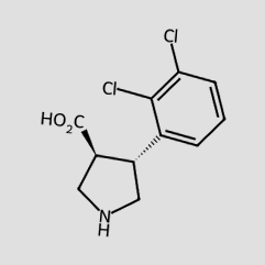 O=C(O)[C@@H]1CNC[C@H]1c1cccc(Cl)c1Cl